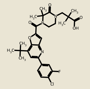 CC(C)(CN1CCN(C(=O)c2cc3nc(-c4ccc(Cl)c(F)c4)cc(C(C)(C)C)c3o2)C(C)(C)C1=O)C(=O)O